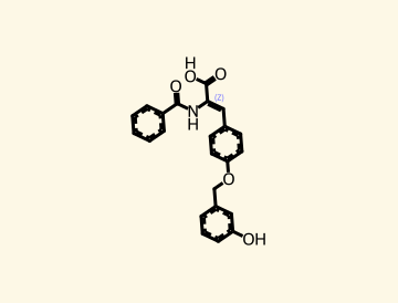 O=C(O)/C(=C/c1ccc(OCc2cccc(O)c2)cc1)NC(=O)c1ccccc1